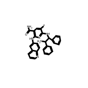 NC(=O)c1cc(F)c(NC(c2ccccc2)C(N)c2ccccc2)nc1Nc1ccc2ncccc2c1